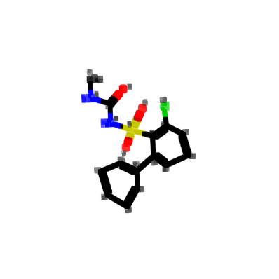 CCCCNC(=O)NS(=O)(=O)c1c(Cl)cccc1-c1ccccc1